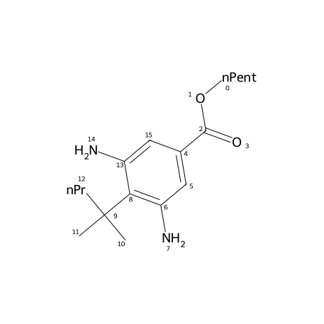 CCCCCOC(=O)c1cc(N)c(C(C)(C)CCC)c(N)c1